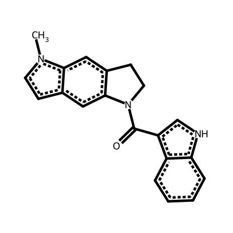 Cn1ccc2cc3c(cc21)CCN3C(=O)c1c[nH]c2ccccc12